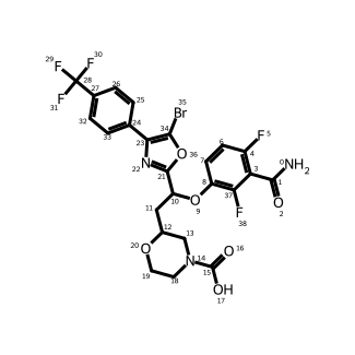 NC(=O)c1c(F)ccc(OC(CC2CN(C(=O)O)CCO2)c2nc(-c3ccc(C(F)(F)F)cc3)c(Br)o2)c1F